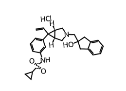 C=CC1(c2cccc(NS(=O)(=O)C3CC3)c2)[C@@H]2CN(CC3(O)Cc4ccccc4C3)C[C@@H]21.Cl